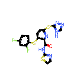 O=C(Nc1nccs1)c1nc(Sc2nnc[nH]2)ccc1Sc1ccc(F)cc1F